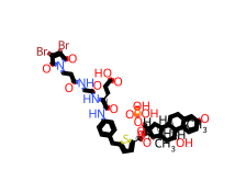 C[C@]12C=CC(=O)C=C1CC[C@@H]1[C@@H]2[C@@H](O)C[C@@]2(C)[C@H]1C[C@H]1O[C@@H](c3ccc(Cc4ccc(NC(=O)[C@H](CCC(=O)O)NC(=O)CNC(=O)CCN5C(=O)C(Br)=C(Br)C5=O)cc4)s3)O[C@]12C(=O)COP(=O)(O)O